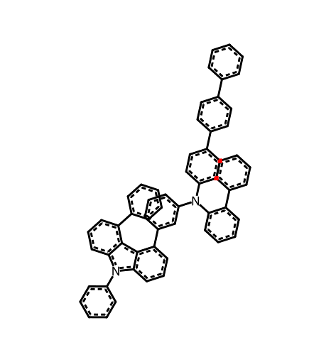 c1ccc(-c2ccc(-c3ccc(N(c4cccc(-c5cccc6c5c5c(-c7ccccc7)cccc5n6-c5ccccc5)c4)c4ccccc4-c4ccccc4)cc3)cc2)cc1